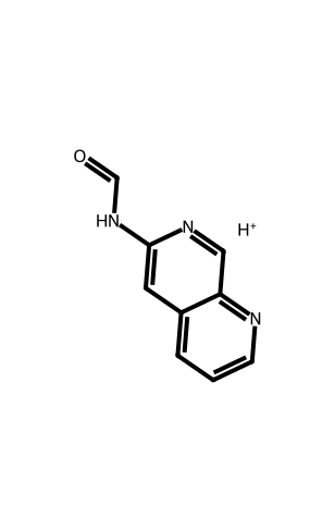 O=CNc1cc2cccnc2cn1.[H+]